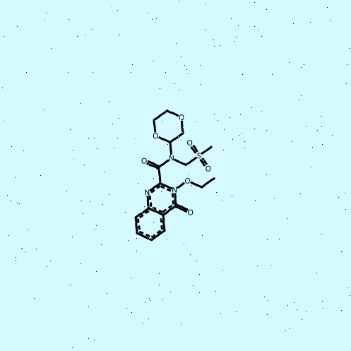 CCOn1c(C(=O)N(CS(C)(=O)=O)C2COCCO2)nc2ccccc2c1=O